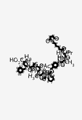 CC[C@H](C)[C@H](NC(=O)[C@H]1CCCCN1C(=O)OCc1ccc(NC(=O)[C@H](C)NC(=O)[C@@H](NC(=O)CCCCCN2C(=O)C=CC2=O)C(C)C)cc1)C(=O)N(C)[C@H](C[C@@H](OC(C)=O)c1nc(C(=O)N[C@@H](Cc2ccccc2)C[C@H](C)C(=O)O)cs1)C(C)C